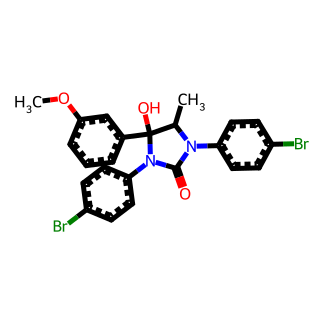 COc1cccc(C2(O)C(C)N(c3ccc(Br)cc3)C(=O)N2c2ccc(Br)cc2)c1